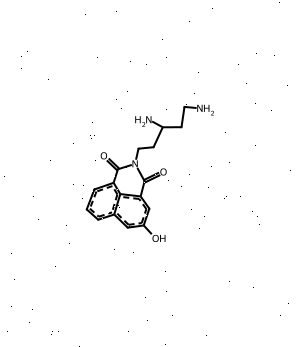 NCCC(N)CCN1C(=O)c2cccc3cc(O)cc(c23)C1=O